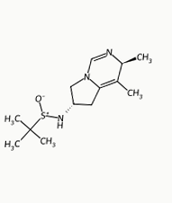 CC1=C2C[C@H](N[S+]([O-])C(C)(C)C)CN2C=N[C@H]1C